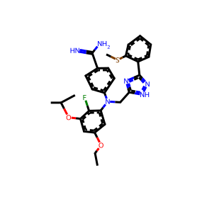 CCOc1cc(OC(C)C)c(F)c(N(Cc2nc(-c3ccccc3SC)n[nH]2)c2ccc(C(=N)N)cc2)c1